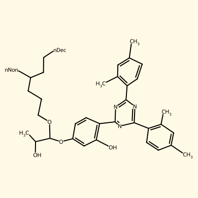 CCCCCCCCCCCCC(CCCCCCCCC)CCCOC(Oc1ccc(-c2nc(-c3ccc(C)cc3C)nc(-c3ccc(C)cc3C)n2)c(O)c1)C(C)O